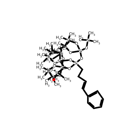 C[Si](C)(C)O[Si](O[Si](C)(C)C)(O[Si](C)(C)C)O[Si](CCC=Cc1ccccc1)(O[Si](O[Si](C)(C)C)(O[Si](C)(C)C)O[Si](C)(C)C)O[Si](O[Si](C)(C)C)(O[Si](C)(C)C)O[Si](C)(C)C